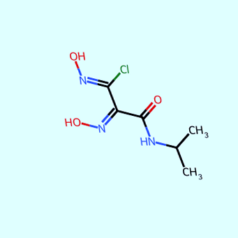 CC(C)NC(=O)C(=NO)C(Cl)=NO